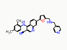 Cc1ccc(Nc2c(C#N)cnc3cc(-c4ccc(CNCc5ccncc5)o4)ccc23)c(C)c1